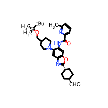 Cc1cccc(C(=O)Nc2cc3oc([C@H]4CC[C@H](C=O)CC4)nc3cc2N2CCC(CO[Si](C)(C)C(C)(C)C)CC2)n1